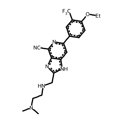 CCOc1ccc(-c2cc3[nH]c(CNCCN(C)C)nc3c(C#N)n2)cc1C(F)(F)F